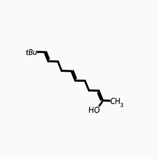 CC(O)=CCCC=CCCC=CC(C)(C)C